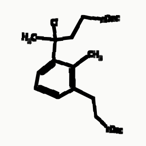 CCCCCCCCCCCCc1cccc(C(C)(Cl)CCCCCCCCCCCC)c1C